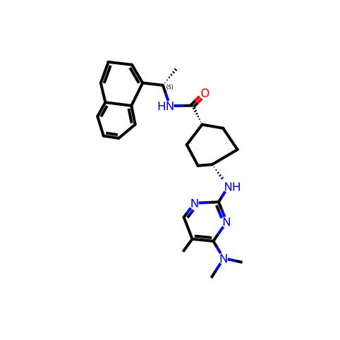 Cc1cnc(N[C@H]2CC[C@@H](C(=O)N[C@@H](C)c3cccc4ccccc34)CC2)nc1N(C)C